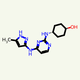 Cc1cc(Nc2ccnc(N[C@H]3CC[C@H](O)CC3)n2)n[nH]1